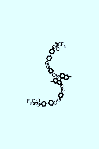 C=C(C(=O)OC1CCC([C@H]2CC[C@H](OCOc3ccc(OCOc4cc(-c5c(OCOc6ccc(OCO[C@H]7CC[C@H](C8CCC(OC(=O)C(=C)C(F)(F)F)CC8)CC7)cc6)ccc6cc(C)ccc56)c5ccc(C)cc5c4)cc3)CC2)CC1)C(F)(F)F